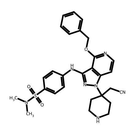 CN(C)S(=O)(=O)c1ccc(Nc2nn(C3(CC#N)CCNCC3)c3ccnc(OCc4ccccc4)c23)cc1